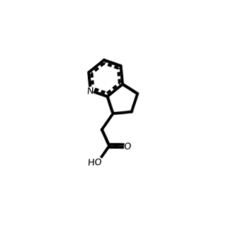 O=C(O)CC1CCc2cccnc21